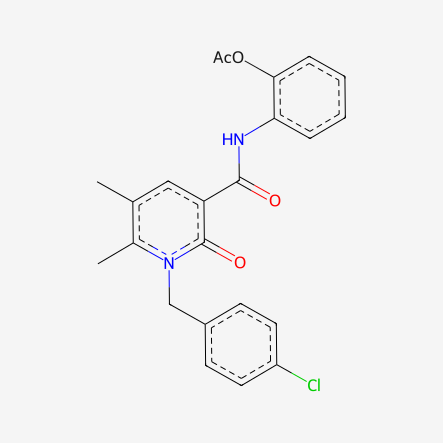 CC(=O)Oc1ccccc1NC(=O)c1cc(C)c(C)n(Cc2ccc(Cl)cc2)c1=O